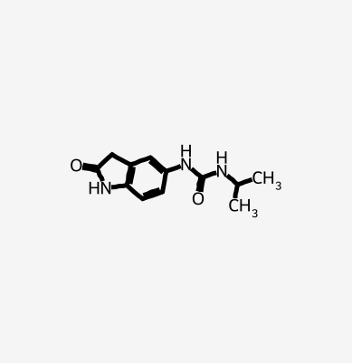 CC(C)NC(=O)Nc1ccc2c(c1)CC(=O)N2